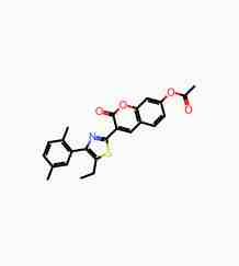 CCc1sc(-c2cc3ccc(OC(C)=O)cc3oc2=O)nc1-c1cc(C)ccc1C